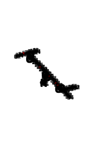 CCCCCCCCC(CCCCCC)COC(=O)CCCCCCCCCCCCCC(CCCCCCCCCCCC(=O)OCC(CCCCCC)CCCCCCCC)OC(=O)CCCN(C)C